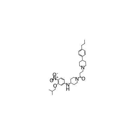 CCCc1ccc(C2CCN(CCC(=O)N3CCC(Nc4ccc([N+](=O)[O-])c(OCC(C)C)c4)CC3)CC2)cc1